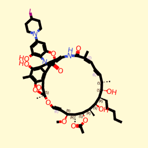 CCCCC[C@@H]1[C@@H](O)[C@@H](C)/C=C/C=C(/C)C(=O)Nc2c3oc4cc(N5CCC(I)CC5)cc(O)c4nc-3c3c4c(c(C)c(O)c3c2=O)O[C@](C)(O/C=C/[C@H](OC)[C@@H](C)[C@@H](OC(C)=O)[C@H](C)[C@@H]1O)C4=O